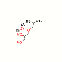 CCCCC(CC)COCC(O)CO.CCOCC